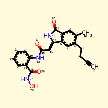 C#CCCc1cc2c(cc1C)C(=O)N/C2=C\C(=O)Nc1ccccc1C(=O)NO